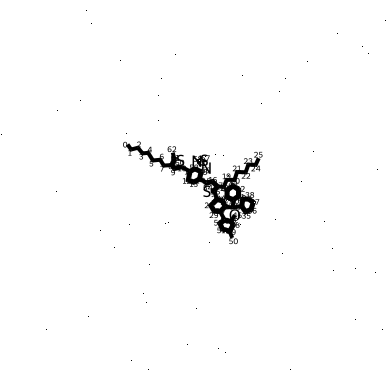 CCCCCCCCc1cc(-c2ccc(-c3cc(CCCCCCCC)c(-c4ccc5c(c4)C(c4ccccc4)(c4ccccc4)Oc4cc(C)ccc4-5)s3)c3nsnc23)sc1C